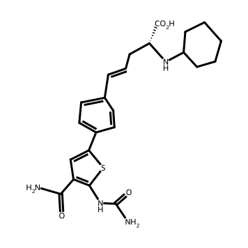 NC(=O)Nc1sc(-c2ccc(C=CC[C@@H](NC3CCCCC3)C(=O)O)cc2)cc1C(N)=O